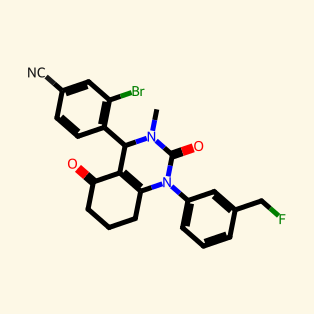 CN1C(=O)N(c2cccc(CF)c2)C2=C(C(=O)CCC2)C1c1ccc(C#N)cc1Br